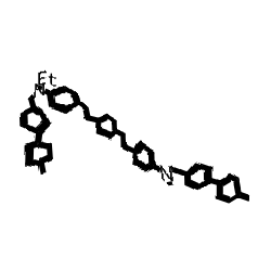 CCN(Cc1ccc(-c2ccc(C)cc2)cc1)c1ccc(C=Cc2ccc(C=Cc3ccc(N(C)Cc4ccc(-c5ccc(C)cc5)cc4)cc3)cc2)cc1